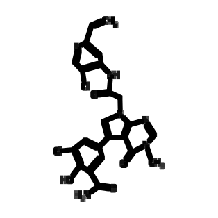 C=Cc1cc(NC(=O)Cn2cc(-c3cc(Cl)c(O)c(C(N)=O)c3)c3c(=O)n(C)cnc32)c(Cl)cn1